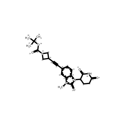 Cn1c(=O)n(C2CCC(=O)NC2=O)c2ccc(C#CC3CN(C(=O)OC(C)(C)C)C3)cc21